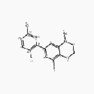 CC(=O)N1CCOc2c(F)cc(-c3nc(Cl)ncc3F)cc21